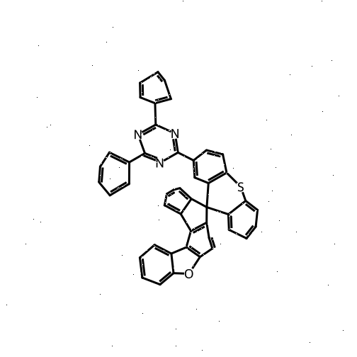 c1ccc(-c2nc(-c3ccccc3)nc(-c3ccc4c(c3)C3(c5ccccc5S4)c4ccccc4-c4c3ccc3oc5ccccc5c43)n2)cc1